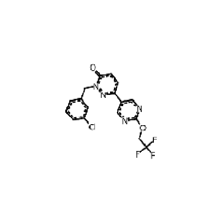 O=c1ccc(-c2cnc(OCC(F)(F)F)nc2)nn1Cc1cccc(Cl)c1